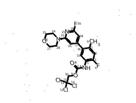 Cc1cc(F)c(NC(=O)OCC(Cl)(Cl)Cl)cc1-c1cc(F)nc(N2CCOCC2)c1